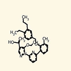 C=C(O)c1cnn(-c2cccc(-c3cccc(C)c3OCc3ccc(CC)c(CCC)c3)n2)c1OCC